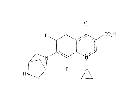 O=C(O)c1cn(C2CC2)c2c(c1=O)CC(F)C(N1CC3CC1CN3)=C2F